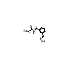 C[C@H](NC(=O)OC(C)(C)C)c1cccc(C=NO)c1